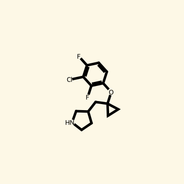 Fc1ccc(OC2(CC3CCNC3)CC2)c(F)c1Cl